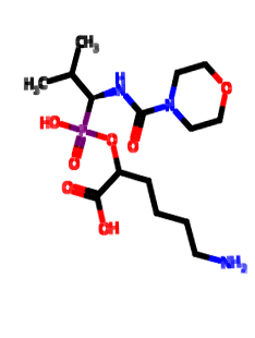 CC(C)[C@@H](NC(=O)N1CCOCC1)P(=O)(O)OC(CCCCN)C(=O)O